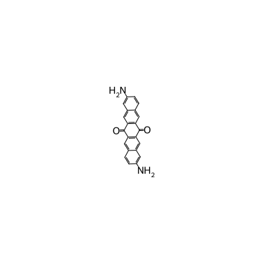 Nc1ccc2cc3c(cc2c1)C(=O)c1cc2ccc(N)cc2cc1C3=O